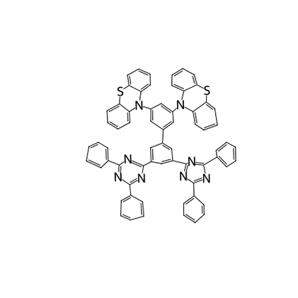 c1ccc(-c2nc(-c3ccccc3)nc(-c3cc(-c4cc(N5c6ccccc6Sc6ccccc65)cc(N5c6ccccc6Sc6ccccc65)c4)cc(-c4nc(-c5ccccc5)nc(-c5ccccc5)n4)c3)n2)cc1